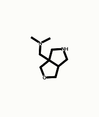 CN(C)CC12CNCC1COC2